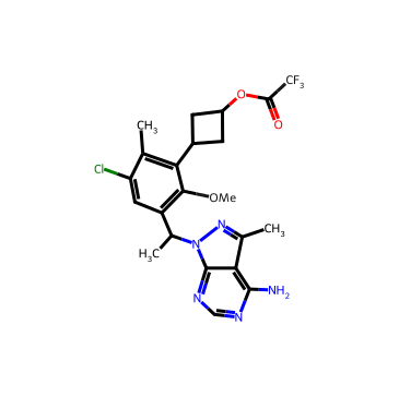 COc1c(C(C)n2nc(C)c3c(N)ncnc32)cc(Cl)c(C)c1C1CC(OC(=O)C(F)(F)F)C1